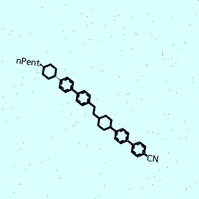 CCCCC[C@H]1CC[C@H](c2ccc(-c3ccc(CCC4CCC(c5ccc(-c6ccc(C#N)cc6)cc5)CC4)cc3)cc2)CC1